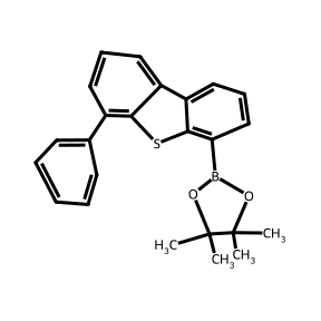 CC1(C)OB(c2cccc3c2sc2c(-c4ccccc4)cccc23)OC1(C)C